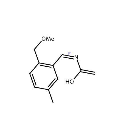 C=C(O)/N=C\c1cc(C)ccc1COC